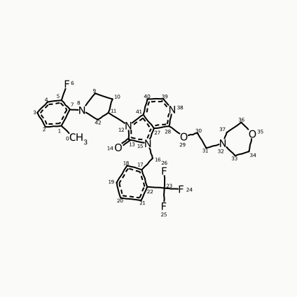 Cc1cccc(F)c1N1CCC(n2c(=O)n(Cc3ccccc3C(F)(F)F)c3c(OCCN4CCOCC4)nccc32)C1